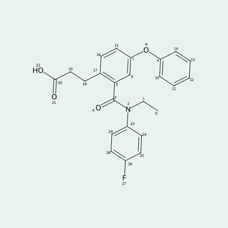 CCN(C(=O)c1cc(Oc2ccccc2)ccc1CCC(=O)O)c1ccc(F)cc1